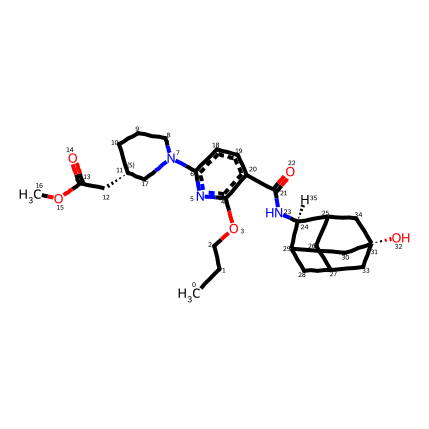 CCCOc1nc(N2CCC[C@@H](CC(=O)OC)C2)ccc1C(=O)N[C@H]1C2CC3CC1C[C@](O)(C3)C2